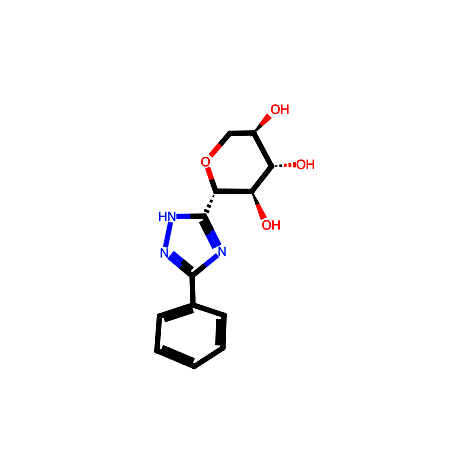 O[C@@H]1[C@@H](O)[C@H](c2nc(-c3ccccc3)n[nH]2)OC[C@H]1O